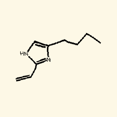 C=Cc1nc(CCCC)c[nH]1